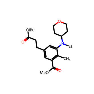 CCN(c1cc(CCC(=O)OCC(C)C)cc(C(=O)OC)c1C)C1CCOCC1